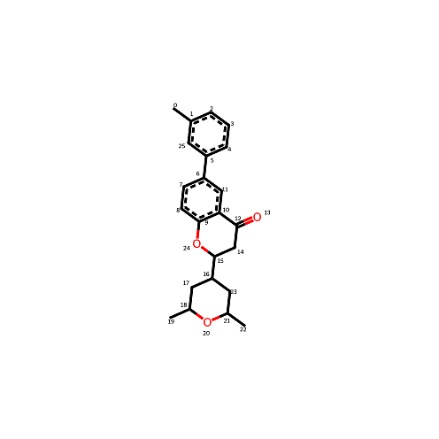 Cc1cccc(-c2ccc3c(c2)C(=O)CC(C2CC(C)OC(C)C2)O3)c1